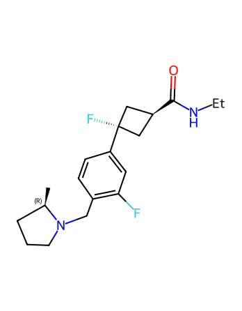 CCNC(=O)[C@H]1C[C@@](F)(c2ccc(CN3CCC[C@H]3C)c(F)c2)C1